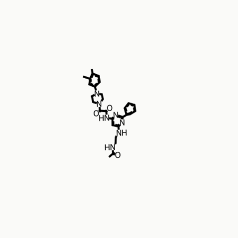 CC(=O)NCCNc1cc(NC(=O)C(=O)N2CCN(c3ccc(C)c(C)c3)CC2)nc(-c2ccccc2)n1